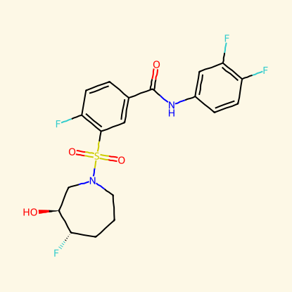 O=C(Nc1ccc(F)c(F)c1)c1ccc(F)c(S(=O)(=O)N2CCC[C@H](F)[C@@H](O)C2)c1